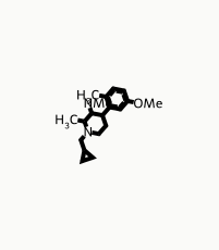 CNC1C(c2cc(OC)ccc2C)CCN(CC2CC2)C1C